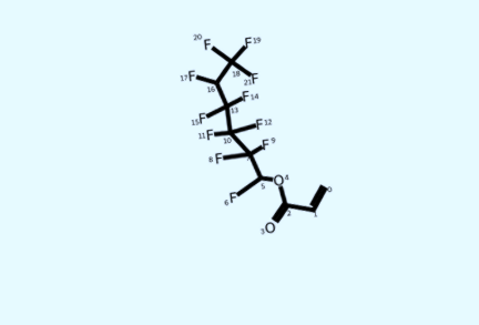 C=CC(=O)OC(F)C(F)(F)C(F)(F)C(F)(F)C(F)C(F)(F)F